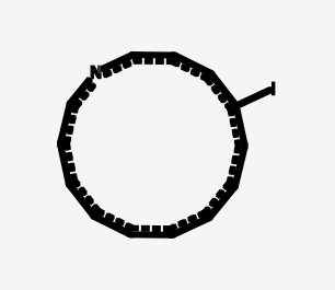 Ic1cccccccccnccc1